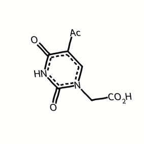 CC(=O)c1cn(CC(=O)O)c(=O)[nH]c1=O